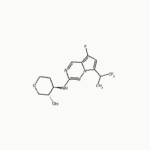 CC(c1cc(F)c2cnc(N[C@@H]3CCOC[C@H]3O)nn12)C(F)(F)F